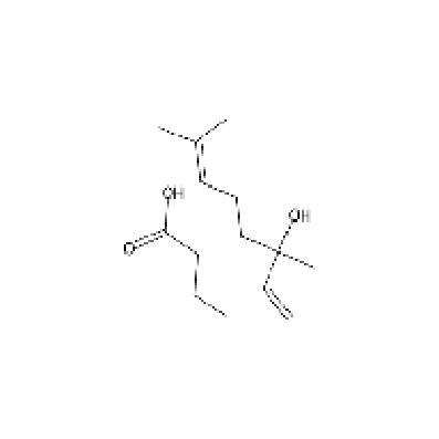 C=CC(C)(O)CCC=C(C)C.CCCC(=O)O